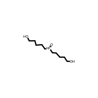 O=[PH](CCCCCO)CCCCCO